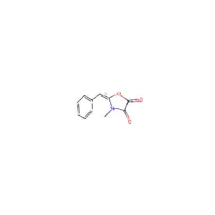 CN1C(=O)C(=O)O/C1=C/c1ccccc1